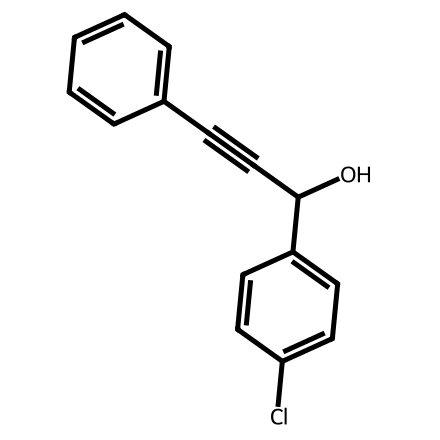 OC(C#Cc1ccccc1)c1ccc(Cl)cc1